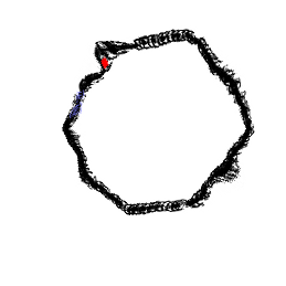 CC1=C\CCCCCCCCCCCCCCCCCCCCCCCCCCCCCCCCCCCCCCCCCCCCCCCCCCCCCCCCCCCCCCCCCCCCCCCCCCCCCCCCCCCCCCCCCCCCCCCC\C=C\1